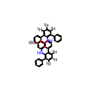 [2H]c1c([2H])c(-c2ccccc2)c(Nc2cc(Nc3c(-c4ccccc4)c([2H])c([2H])c([2H])c3-c3ccccc3)cc(C(C)(C)C)c2)c(-c2ccccc2)c1[2H]